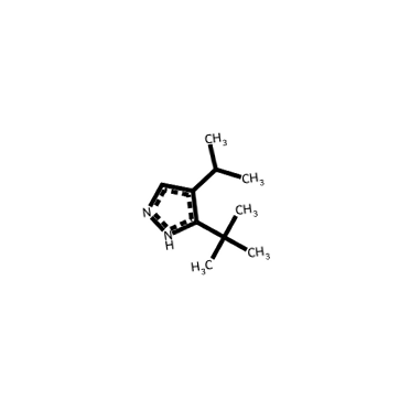 CC(C)c1cn[nH]c1C(C)(C)C